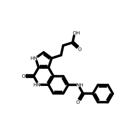 O=C(O)CCc1c[nH]c2c(=O)[nH]c3ccc(NC(=O)c4ccccc4)cc3c12